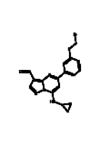 O=Cc1cnn2c(NC3CC3)cc(-c3cccc(SCBr)c3)nc12